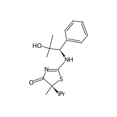 CC(C)[C@]1(C)SC(N[C@H](c2ccccc2)C(C)(C)O)=NC1=O